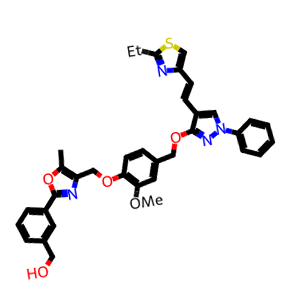 CCc1nc(C=Cc2cn(-c3ccccc3)nc2OCc2ccc(OCc3nc(-c4cccc(CO)c4)oc3C)c(OC)c2)cs1